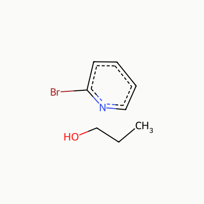 Brc1ccccn1.CCCO